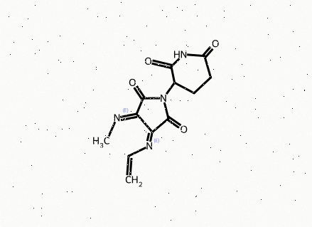 C=C/N=c1/c(=O)n(C2CCC(=O)NC2=O)c(=O)/c1=N/C